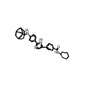 O=C(NC1CCCCC1)c1ccc(-c2cnc(-c3ccc(NC45CC6CC(CC(C6)C4)C5)cc3)[nH]2)cc1